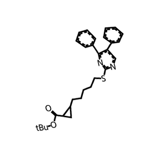 CC(C)(C)OC(=O)C1CC1CCCCCSc1ncc(-c2ccccc2)c(-c2ccccc2)n1